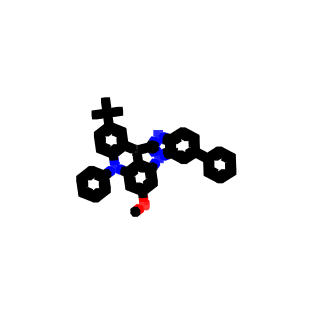 COc1cc2c3c(c1)-n1c(nc4ccc(-c5ccccc5)cc41)B3c1cc(C(C)(C)C)ccc1N2c1ccccc1